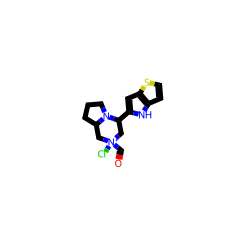 O=C[N+]1(Cl)CC2CCCN2C(c2cc3sccc3[nH]2)C1